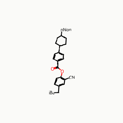 CCCCCCCCCC1CCC(c2ccc(C(=O)Oc3ccc(CC(C)CC)cc3C#N)cc2)CC1